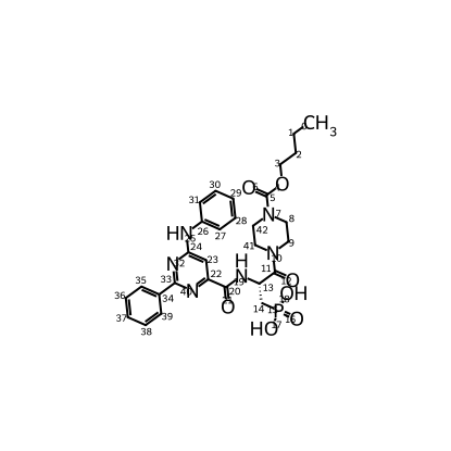 CCCCOC(=O)N1CCN(C(=O)[C@H](CP(=O)(O)O)NC(=O)c2cc(Nc3ccccc3)nc(-c3ccccc3)n2)CC1